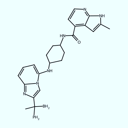 BC(C)(P)c1cn2c(NC3CCC(NC(=O)c4ccnc5[nH]c(C)cc45)CC3)cccc2n1